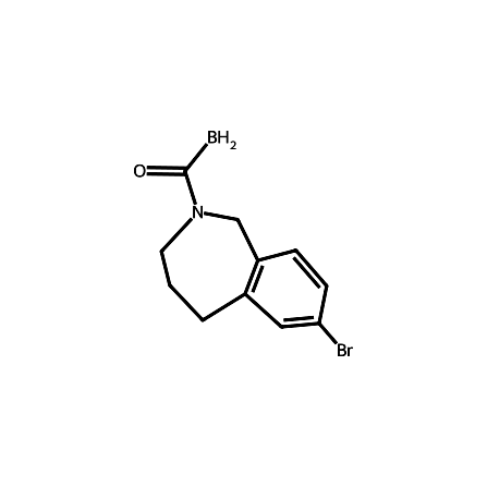 BC(=O)N1CCCc2cc(Br)ccc2C1